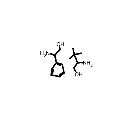 CC(C)(C)C(N)CO.NC(CO)c1ccccc1